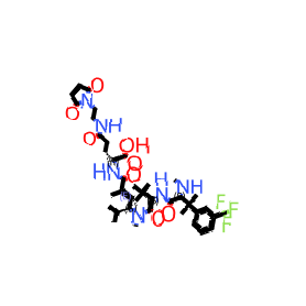 CN[C@H](C(=O)N[C@H](C(=O)N(C)[C@H](/C=C(\C)C(=O)N[C@H](CCC(=O)NCCN1C(=O)C=CC1=O)C(=O)O)C(C)C)C(C)(C)C)C(C)(C)c1cccc(C(F)(F)F)c1